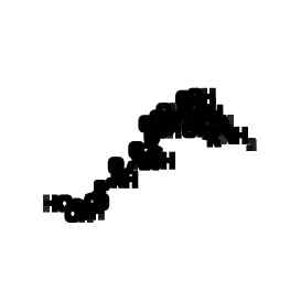 CC(O)(CC(=O)SCCNC(=O)CCNC(=O)C(O)C(C)(C)COP(=O)(O)OP(=O)(O)OC[C@H]1O[C@@H](n2cnc3c(N)ncnc32)C(O)C1OP(=O)(O)O)CC(O)O